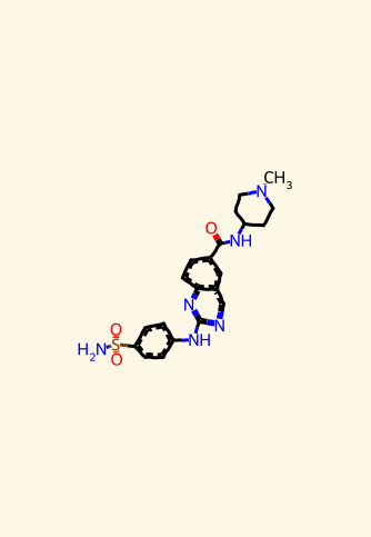 CN1CCC(NC(=O)c2ccc3nc(Nc4ccc(S(N)(=O)=O)cc4)ncc3c2)CC1